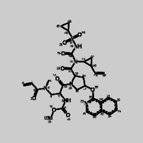 C=CC(=O)N(C)CC(NC(=O)OC(C)(C)C)C(=O)N1CC(Oc2nccc3ccccc23)CC1C(=O)N(C(=O)NS(=O)(=O)C1CC1)C1CC1C=C